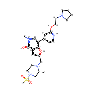 C[C@@H]1CN(S(C)(=O)=O)CCN1Cc1cc2c(=O)n(C)cc(-c3ccnc(OCCN4CCCC4)c3)c2o1